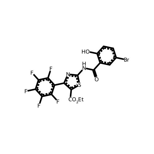 CCOC(=O)c1sc(NC(=O)c2cc(Br)ccc2O)nc1-c1c(F)c(F)c(F)c(F)c1F